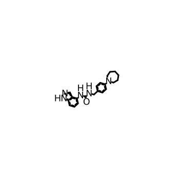 O=C(NCc1ccc(N2CCCCCC2)cc1)Nc1cccc2[nH]ncc12